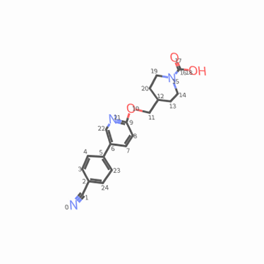 N#Cc1ccc(-c2ccc(OCC3CCN(C(=O)O)CC3)nc2)cc1